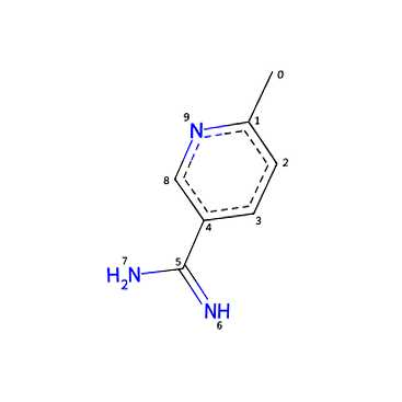 Cc1ccc(C(=N)N)cn1